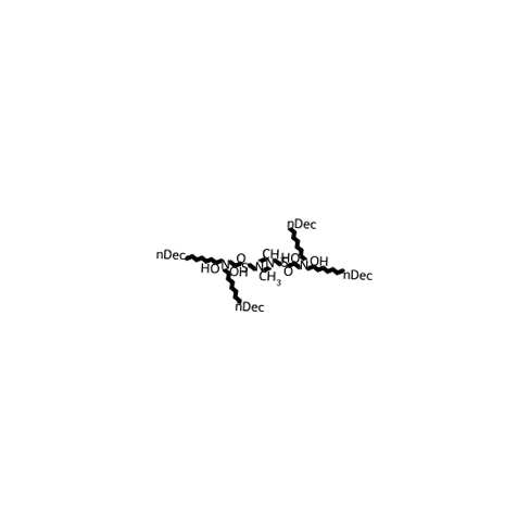 CCCCCCCCCCCCCCCCC(O)CN(CCC(=O)SCCN1CC(C)N(CCSC(=O)CCN(CC(O)CCCCCCCCCCCCCCCC)CC(O)CCCCCCCCCCCCCCCC)CC1C)CC(O)CCCCCCCCCCCCCCCC